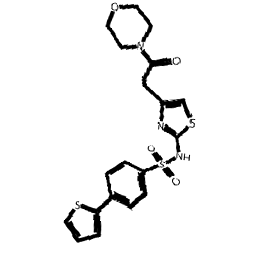 O=C(Cc1csc(NS(=O)(=O)c2ccc(-c3cccs3)cc2)n1)N1CCOCC1